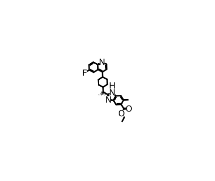 CCOC(=O)c1cc2nc([C@H](C)C3CCC(c4ccnc5ccc(F)cc45)CC3)[nH]c2cc1C